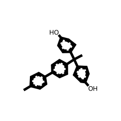 Cc1ccc(-c2ccc(C(C)(c3ccc(O)cc3)c3ccc(O)cc3)cc2)cc1